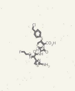 Nc1nc(/C(=N/OCCF)C(=O)N[C@@H]2C(=O)N3C(C(=O)O)=C(Sc4ccc(CCl)cc4)CS[C@H]23)cs1